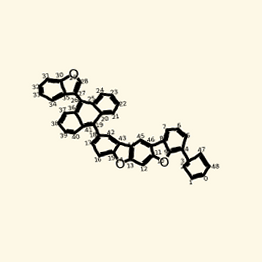 c1ccc(-c2cccc3c2oc2cc4oc5ccc(-c6c7ccccc7c(-c7coc8ccccc78)c7ccccc67)cc5c4cc23)cc1